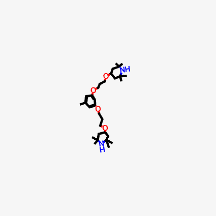 Cc1cc(OCCCOC2CC(C)(C)NC(C)(C)C2)cc(OCCCOC2CC(C)(C)NC(C)(C)C2)c1